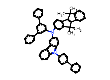 CC1(C)C2=C(c3ccccc31)C(C)(C)c1cc(N(c3cc(-c4ccccc4)cc(-c4ccccc4)c3)c3ccc4c(c3)c3ccccc3n4-c3ccc(-c4ccccc4)cc3)ccc12